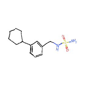 NS(=O)(=O)NCc1cccc(C2CCCCC2)c1